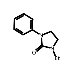 CCN1CCN(c2ccccc2)C1=O